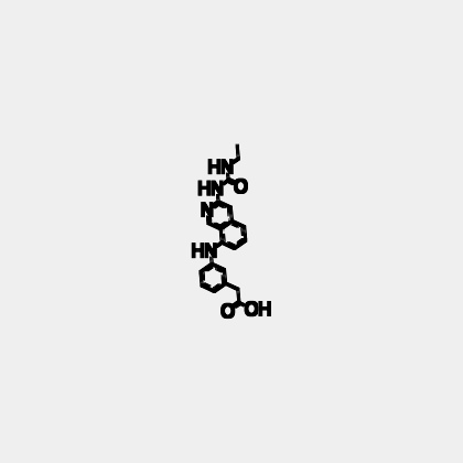 CCNC(=O)Nc1cc2cccc(Nc3cccc(CC(=O)O)c3)c2cn1